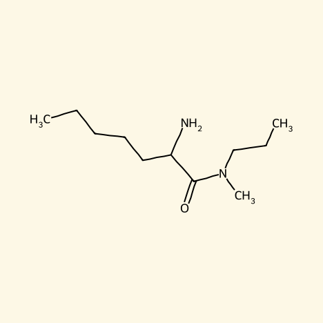 CCCCCC(N)C(=O)N(C)CCC